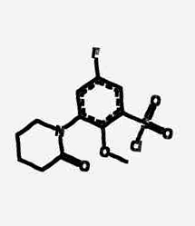 COc1c(N2CCCCC2=O)cc(F)cc1S(=O)(=O)Cl